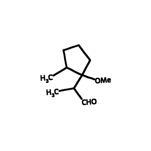 COC1(C(C)C=O)CCCC1C